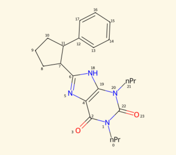 CCCn1c(=O)c2nc(C3CCCC3c3ccccc3)[nH]c2n(CCC)c1=O